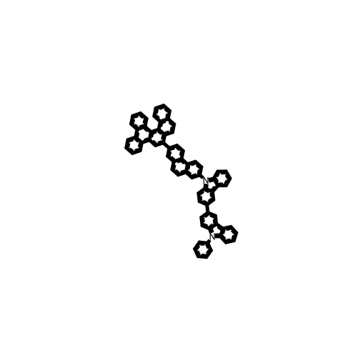 c1ccc(-n2c3ccccc3c3cc(-c4ccc5c(c4)c4ccccc4n5-c4ccc5c(ccc6cc(-c7cc8c9ccccc9c9ccccc9c8c8c7ccc7ccccc78)ccc65)c4)ccc32)cc1